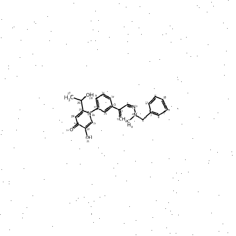 C=C(/C=N\N(C)Cc1ccccc1)c1cccc(-n2cc(O)c(=O)cc2C(C)O)c1